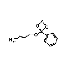 CCCCOC1(c2ccccc2)OCO1